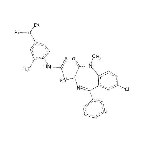 CCN(CC)c1ccc(NC(=S)NC2N=C(c3cccnc3)c3cc(Cl)ccc3N(C)C2=O)c(C)c1